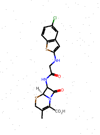 CC1=C(C(=O)O)N2C(=O)C(NC(=O)CNc3cc4cc(Cl)ccc4s3)[C@@H]2SC1